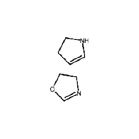 C1=CNCC1.C1=NCCO1